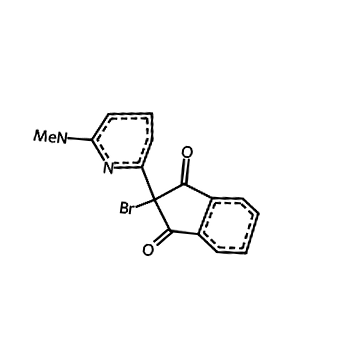 CNc1cccc(C2(Br)C(=O)c3ccccc3C2=O)n1